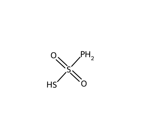 O=S(=O)(P)S